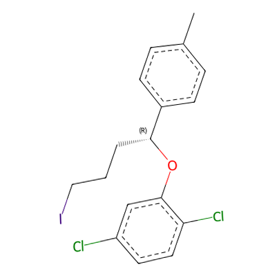 Cc1ccc([C@@H](CCCI)Oc2cc(Cl)ccc2Cl)cc1